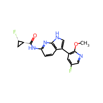 COc1ncc(F)cc1-c1c[nH]c2nc(NC(=O)[C@@H]3C[C@@H]3F)ccc12